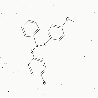 COc1ccc(SP(Sc2ccc(OC)cc2)c2ccccc2)cc1